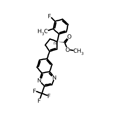 COC(=O)[C@]1(c2cccc(F)c2C)C=C(c2ccc3nc(C(F)(F)F)cnc3c2)CC1